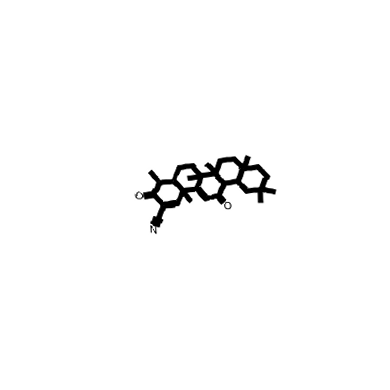 CC1C(=O)C(C#N)=CC2(C)C3=CC(=O)C4C5CC(C)(C)CCC5(C)CCC4(C)C3(C)CCC12